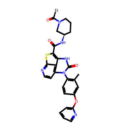 CCC(=O)N1CCC[C@@H](NC(=O)c2sc3nccc4c3c2NC(=O)N4c2ccc(Oc3ccccn3)cc2C)C1